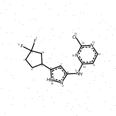 FC1(F)CCC(c2cc(Nc3ccnc(Cl)n3)n[nH]2)C1